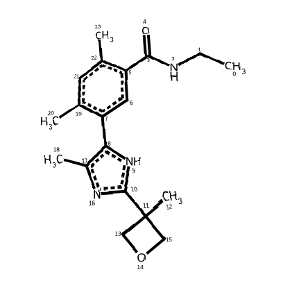 CCNC(=O)c1cc(-c2[nH]c(C3(C)COC3)nc2C)c(C)cc1C